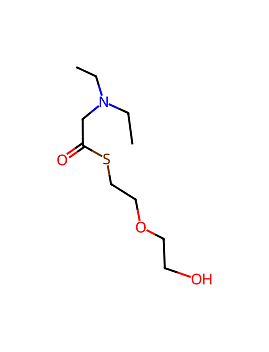 CCN(CC)CC(=O)SCCOCCO